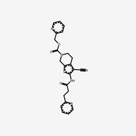 N#Cc1c(NC(=O)CCc2ccccn2)sc2c1CCN(C(=O)OCc1ccccn1)C2